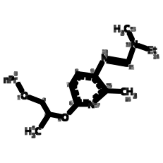 CCCOCC(C)Oc1ccc(/N=C/N(C)CC)c(C)n1